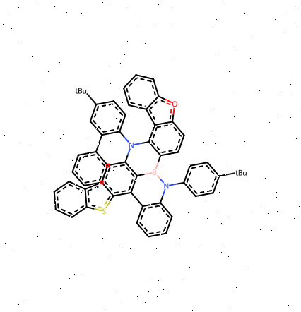 CC(C)(C)c1ccc(N2B3c4ccc5oc6ccccc6c5c4N(c4ccc(C(C)(C)C)cc4-c4ccccc4)c4cc5c(sc6ccccc65)c(c43)-c3ccccc32)cc1